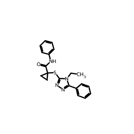 CCn1c(SC2(C(=O)Nc3ccccc3)CC2)nnc1-c1ccccc1